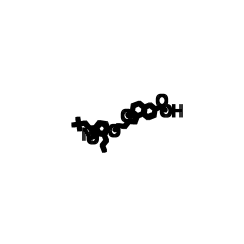 CCCc1c(OCCc2cc3c(o2)CCC2=C3C=CC(C(=O)O)C2)ccc2c(CC(C)(C)C)noc12